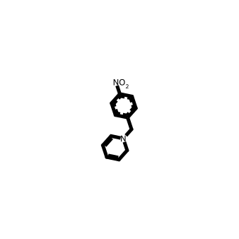 O=[N+]([O-])c1ccc(CN2C=CC=CC2)cc1